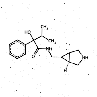 CC(C)C(O)(C(=O)NC[C@@H]1C2CNC[C@H]21)c1ccccc1